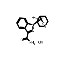 Cl.NC(=O)c1nn([C@@H]2CN3CCC2CC3)c2ccccc12